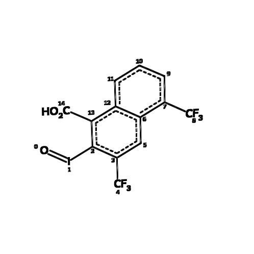 O=Ic1c(C(F)(F)F)cc2c(C(F)(F)F)cccc2c1C(=O)O